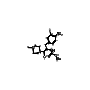 CN1CCN(C(=O)[C@@H](Cc2ccc([N+](=O)[O-])c(F)c2)NC(=O)OC(C)(C)C)CC1